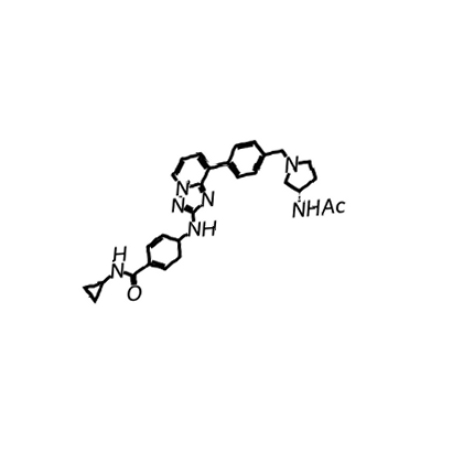 CC(=O)N[C@H]1CCN(Cc2ccc(-c3cccn4nc(NC5C=CC(C(=O)NC6CC6)=CC5)nc34)cc2)C1